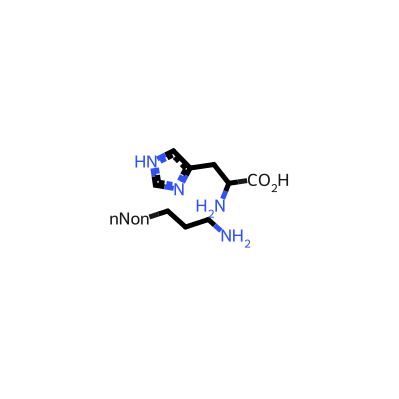 CCCCCCCCCCCCN.NC(Cc1c[nH]cn1)C(=O)O